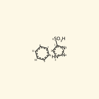 O=S(=O)(O)c1c[nH]nn1.c1ccccc1